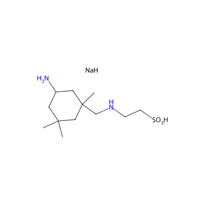 CC1(C)CC(N)CC(C)(CNCCS(=O)(=O)O)C1.[NaH]